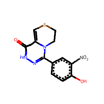 O=C1NN=C(c2ccc(O)c([N+](=O)[O-])c2)N2CCSC=C12